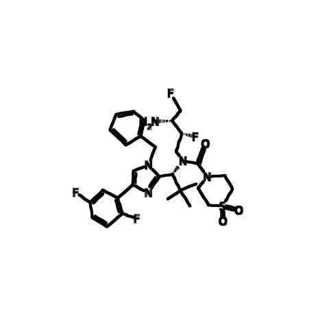 CC(C)(C)[C@H](c1nc(-c2cc(F)ccc2F)cn1Cc1ccccc1)N(C[C@@H](F)[C@H](N)CF)C(=O)N1CCS(=O)(=O)CC1